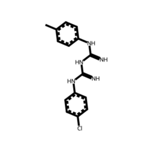 Cc1ccc(NC(=N)NC(=N)Nc2ccc(Cl)cc2)cc1